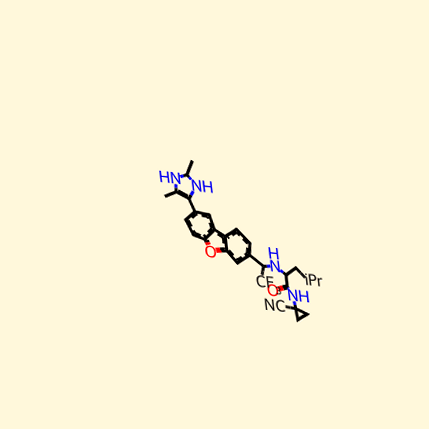 CC1=C(c2ccc3oc4cc(C(NC(CC(C)C)C(=O)NC5(C#N)CC5)C(F)(F)F)ccc4c3c2)NC(C)N1